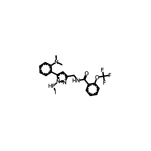 CN(C)c1ccccc1-c1cc(CNC(=O)c2ccccc2OC(F)(F)F)nn1PI